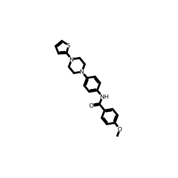 COc1ccc(C(=O)Nc2ccc(N3CCN(c4cccs4)CC3)cc2)cc1